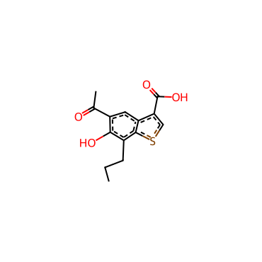 CCCc1c(O)c(C(C)=O)cc2c(C(=O)O)csc12